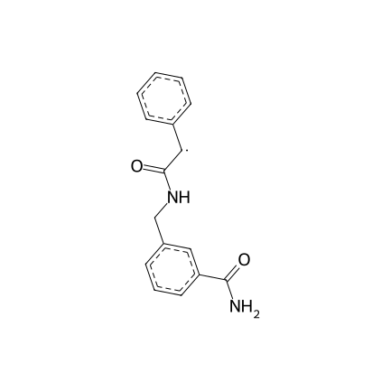 NC(=O)c1cccc(CNC(=O)[CH]c2ccccc2)c1